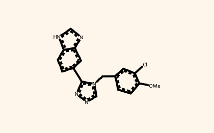 COc1ccc(Cn2cnnc2-c2ccc3[nH]cnc3c2)cc1Cl